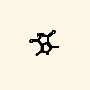 Cc1sc(C)c2c1C(=O)NC2=O